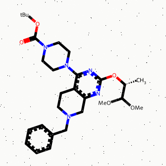 COC(OC)[C@@H](C)Oc1nc2c(c(N3CCN(C(=O)OC(C)(C)C)CC3)n1)CCN(Cc1ccccc1)C2